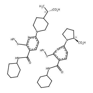 CCCSc1nc(N2CCC([C@H](C)C(=O)O)CC2)ccc1C(=O)NC1CCCCC1.CCCSc1nc(N2CCC[C@H]2C(=O)O)ccc1C(=O)NC1CCCCC1